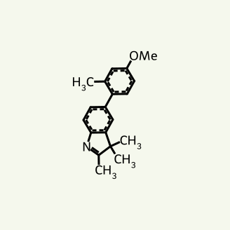 COc1ccc(-c2ccc3c(c2)C(C)(C)C(C)=N3)c(C)c1